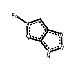 CCn1cc2nn[nH]c2n1